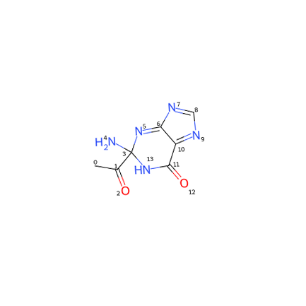 CC(=O)C1(N)N=C2N=CN=C2C(=O)N1